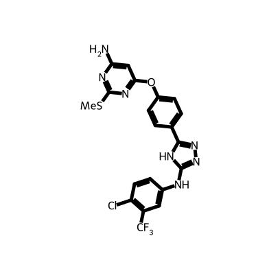 CSc1nc(N)cc(Oc2ccc(-c3nnc(Nc4ccc(Cl)c(C(F)(F)F)c4)[nH]3)cc2)n1